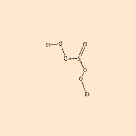 CCOOS(=O)OOCC